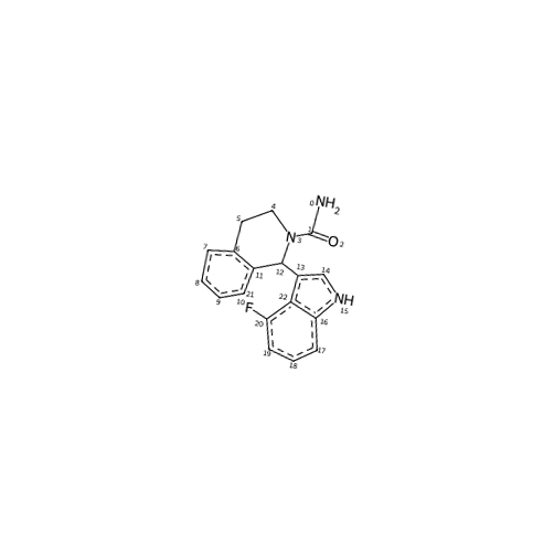 NC(=O)N1CCc2ccccc2C1c1c[nH]c2cccc(F)c12